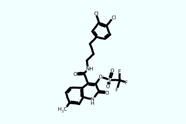 Cc1ccc2c(C(=O)NCCCc3ccc(Cl)c(Cl)c3)c(OS(=O)(=O)C(F)(F)F)c(=O)[nH]c2c1